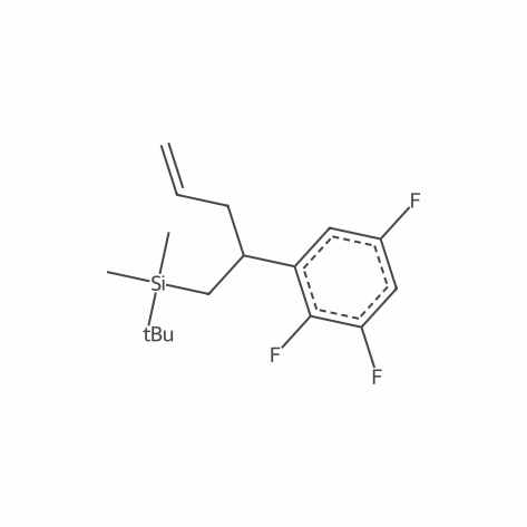 C=CCC(C[Si](C)(C)C(C)(C)C)c1cc(F)cc(F)c1F